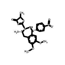 COc1cc2c(cc1OC)[C@@H](c1ccc([N+](=O)[O-])cc1)NN(C1=NC(=O)C(C)S1)[C@@H](C)C2